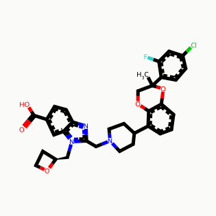 CC1(c2ccc(Cl)cc2F)COc2c(cccc2C2CCN(Cc3nc4ccc(C(=O)O)cc4n3C[C@@H]3CCO3)CC2)O1